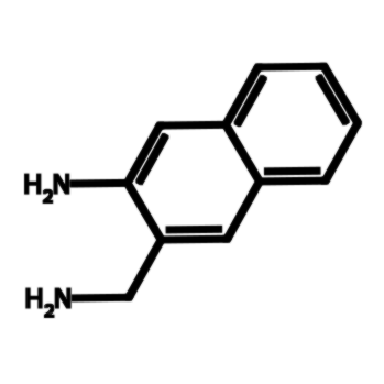 NCc1cc2ccccc2cc1N